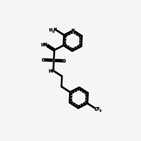 N=C(c1cccnc1N)S(=O)(=O)NCCc1ccc(C(F)(F)F)cc1